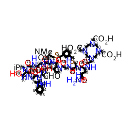 CNC(CSCc1cccc(CSCC(NC(=O)C(CCC(N)=O)NC(=O)CN2CCN(CC(=O)O)CCN(CC(=O)O)CCN(CC(=O)O)CC2)C(=O)NCC(=O)N2CCCC2C(=O)N[C@@H](CC(=O)O)C(=O)NCC(=O)NCC(=O)N(C(C)C)C(C(=O)N[C@@H](Cc2c[nH]c3ccccc23)C(=O)N[C@H](C=O)CO)[C@@H](C)O)c1)N=O